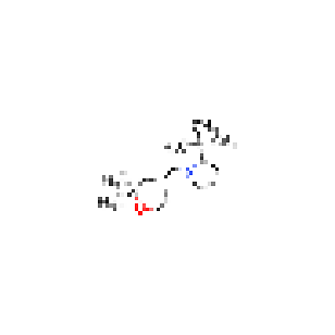 CC1(C)CC(CN2CCCC2C(C)(C)C)CCO1